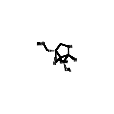 COC[C@@]12CN[C@H]([C@H](C)O1)[C@@H]2OC